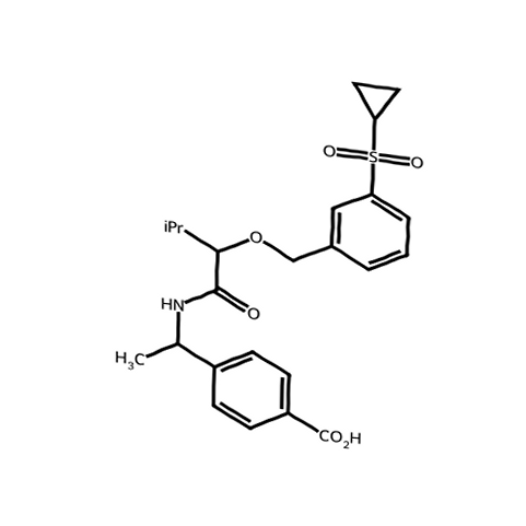 CC(NC(=O)C(OCc1cccc(S(=O)(=O)C2CC2)c1)C(C)C)c1ccc(C(=O)O)cc1